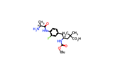 C[C@H](N)C(=O)Nc1ccc(C[C@@H](CC(C)(C)C(=O)O)NC(=O)OC(C)(C)C)cc1F